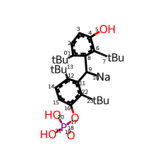 CC(C)(C)c1ccc(O)c(C(C)(C)C)c1[CH]([Na])c1c(C(C)(C)C)ccc(OP(=O)(O)O)c1C(C)(C)C